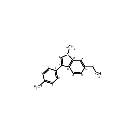 Cn1cc(-c2ccc(C(F)(F)F)cc2)c2ccc(CO)cc21